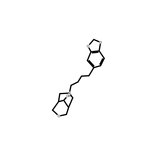 OC1C2COCC1CN(CCCCc1ccc3c(c1)OCO3)C2